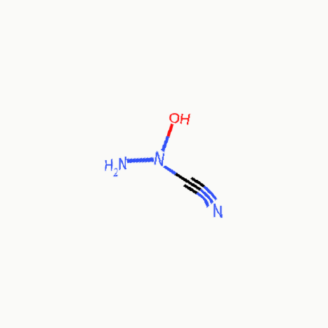 N#CN(N)O